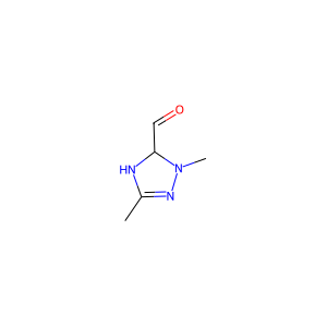 CC1=NN(C)C(C=O)N1